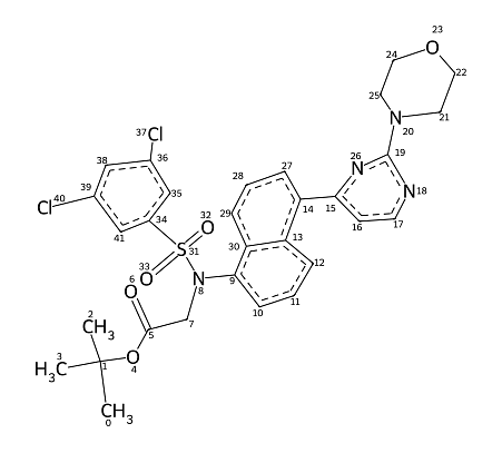 CC(C)(C)OC(=O)CN(c1cccc2c(-c3ccnc(N4CCOCC4)n3)cccc12)S(=O)(=O)c1cc(Cl)cc(Cl)c1